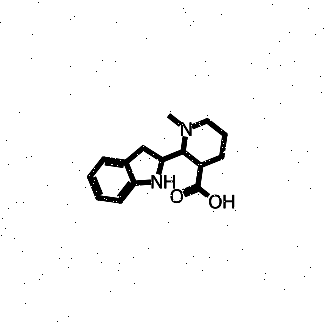 CN1CCCC(C(=O)O)C1C1Cc2ccccc2N1